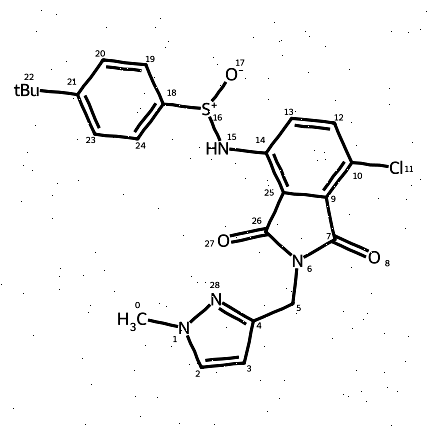 Cn1ccc(CN2C(=O)c3c(Cl)ccc(N[S+]([O-])c4ccc(C(C)(C)C)cc4)c3C2=O)n1